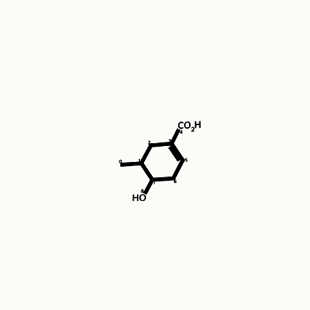 CC1CC(C(=O)O)=CCC1O